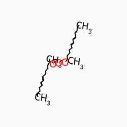 CCCCC=CC=CCCCCC(C)OCOCOC(C)CCCCC=CC=CCCCC